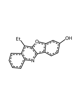 CCc1c2ccccc2nc2c1oc1cc(O)ccc12